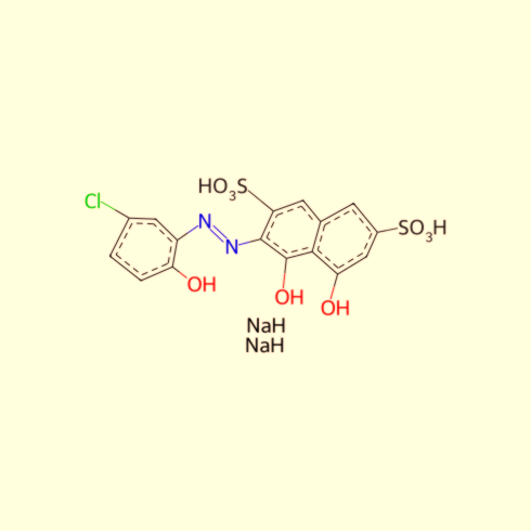 O=S(=O)(O)c1cc(O)c2c(O)c(N=Nc3cc(Cl)ccc3O)c(S(=O)(=O)O)cc2c1.[NaH].[NaH]